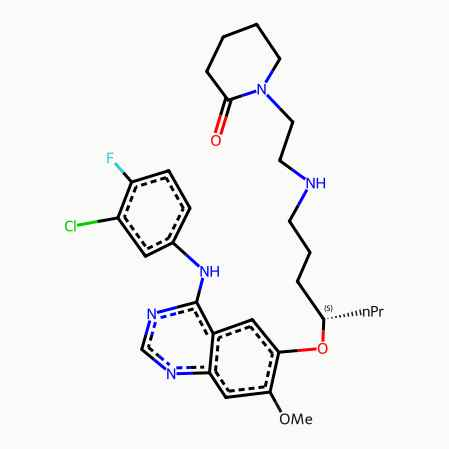 CCC[C@@H](CCCNCCN1CCCCC1=O)Oc1cc2c(Nc3ccc(F)c(Cl)c3)ncnc2cc1OC